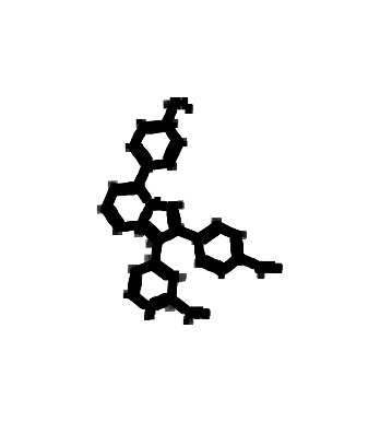 COc1ccc(-c2nn3c(-c4ccc(N)cc4)cccc3c2-c2ccnc(SC)n2)cc1